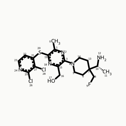 Cc1nc(N2CCC(CF)([C@@H](C)N)CC2)c(CO)nc1Sc1ccnc(Cl)c1Cl